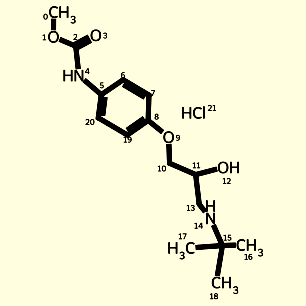 COC(=O)Nc1ccc(OCC(O)CNC(C)(C)C)cc1.Cl